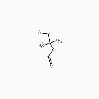 CC(C)(CCl)OC=O